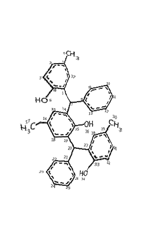 Cc1ccc(O)c(C(c2ccccc2)c2cc(C)cc(C(c3ccccc3)c3cc(C)ccc3O)c2O)c1